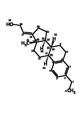 CCc1ccc2c(c1)CC[C@@H]1[C@@H]2CC[C@]2(C)C(=CCO)CC[C@@H]12